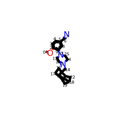 COc1ccc(C#N)cc1N1CCN(CC23CC4C5CC(C2C5)C43)CC1